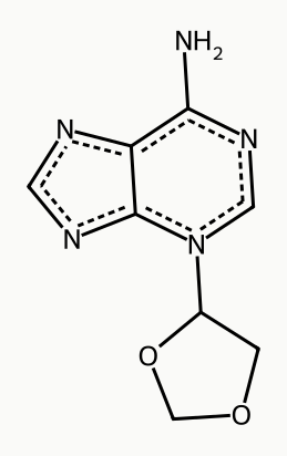 Nc1ncn(C2COCO2)c2ncnc1-2